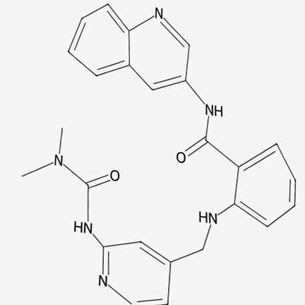 CN(C)C(=O)Nc1cc(CNc2ccccc2C(=O)Nc2cnc3ccccc3c2)ccn1